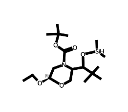 CCO[C@H]1CN(C(=O)OC(C)(C)C)C(C(O[SiH](C)C)C(C)(C)C)CO1